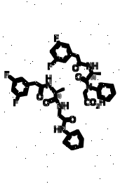 C[C@H](NC(=O)Cc1cc(F)cc(F)c1)C(=O)N(CC(=O)O)c1ccccc1.C[C@H](NC(=O)Cc1cc(F)cc(F)c1)C(=O)NCC(=O)Nc1ccccc1